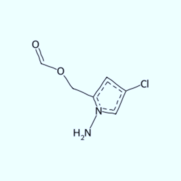 Nn1cc(Cl)cc1COC=O